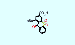 CCCCc1cc(C(=O)O)cc2c1C(=O)c1ccccc1S2(=O)=O